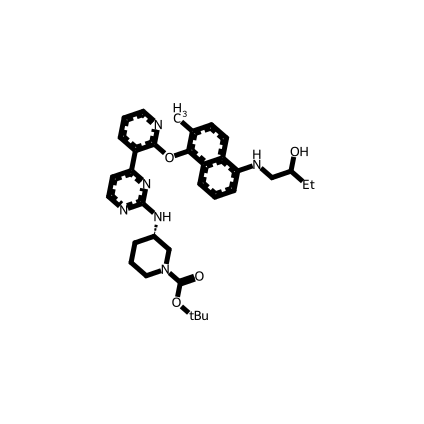 CCC(O)CNc1cccc2c(Oc3ncccc3-c3ccnc(N[C@H]4CCCN(C(=O)OC(C)(C)C)C4)n3)c(C)ccc12